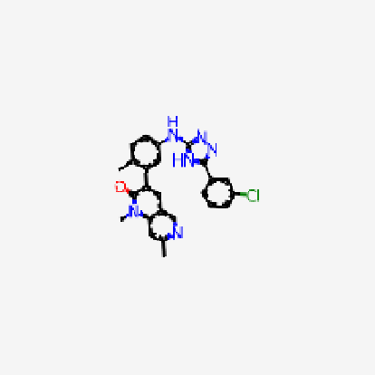 Cc1cc2c(cn1)cc(-c1cc(Nc3nnc(-c4cccc(Cl)c4)[nH]3)ccc1C)c(=O)n2C